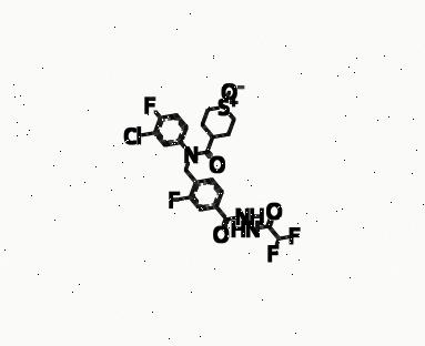 O=C(NNC(=O)C(F)F)c1ccc(CN(C(=O)C2CC[S+]([O-])CC2)c2ccc(F)c(Cl)c2)c(F)c1